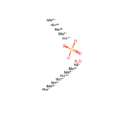 O.O=P([O-])([O-])[O-].[Mo+4].[Mo+4].[Mo+4].[Mo+4].[Mo+4].[Mo+4].[Mo+4].[Mo+4].[Mo+4].[Mo+4].[Mo+4].[Mo+4].[Na+]